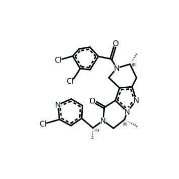 C[C@@H]1Cc2nn3c(c2CN1C(=O)c1ccc(Cl)c(Cl)c1)C(=O)N([C@H](C)c1ccnc(Cl)c1)C[C@H]3C